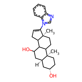 C[C@]12CCC3C(C(O)C[C@@H]4C[C@@H](O)CC[C@]34C)C1CC=C2n1cnc2ccccc21